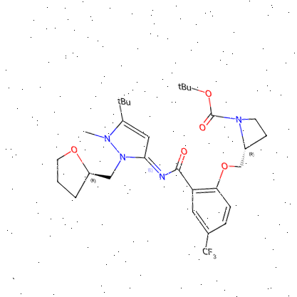 Cn1c(C(C)(C)C)c/c(=N\C(=O)c2cc(C(F)(F)F)ccc2OC[C@H]2CCN2C(=O)OC(C)(C)C)n1C[C@H]1CCCO1